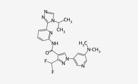 CC(C)n1cnnc1-c1cccc(NC(=O)c2cn(-c3cncc(N(C)C)c3)nc2C(F)F)n1